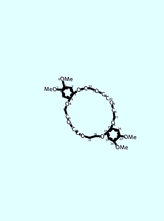 COc1cc2c(cc1OC)OCCOCCOCCOc1cc(OC)c(OC)cc1OCCOCCOCCO2